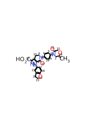 C[C@@H]1CN(c2ccc(N3CCc4c(C(=O)O)nn(-c5ccc6c(c5)CCO6)c4C3=O)cc2)C(=O)CO1